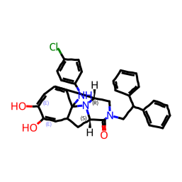 O=C1[C@@H]2CC3/C=C(O)\C(O)=C/C4=CC3(Nc3ccc(Cl)cc3)N2[C@H]4CN1CC(c1ccccc1)c1ccccc1